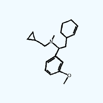 COc1cccc(C(CC2C=CCCC2)N(C)CC2CC2)c1